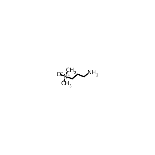 C[N+](C)([O-])CCCN